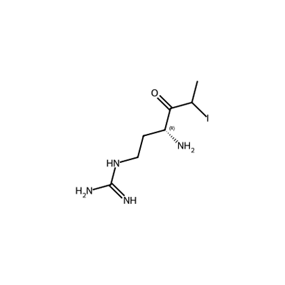 CC(I)C(=O)[C@H](N)CCNC(=N)N